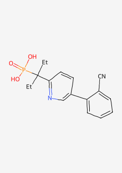 CCC(CC)(c1ccc(-c2ccccc2C#N)cn1)P(=O)(O)O